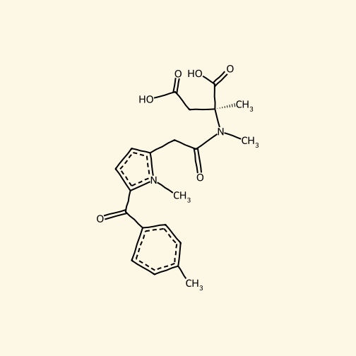 Cc1ccc(C(=O)c2ccc(CC(=O)N(C)[C@@](C)(CC(=O)O)C(=O)O)n2C)cc1